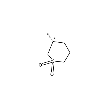 C[C@@H]1CCCS(=O)(=O)C1